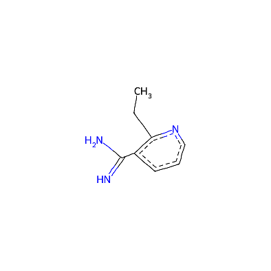 CCc1ncccc1C(=N)N